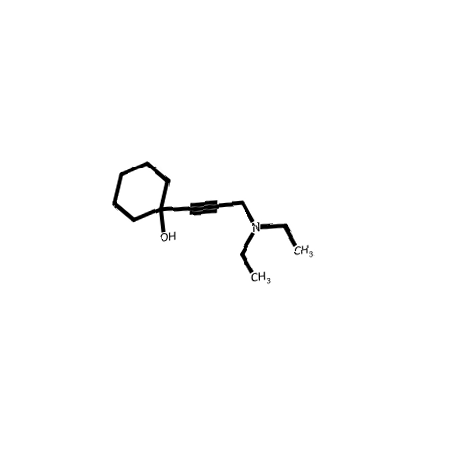 CCN(CC)CC#CC1(O)CCCCC1